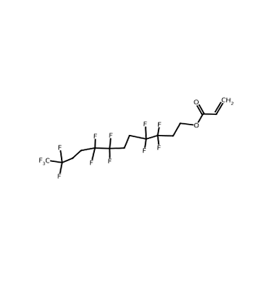 C=CC(=O)OCCC(F)(F)C(F)(F)CCC(F)(F)C(F)(F)CCC(F)(F)C(F)(F)F